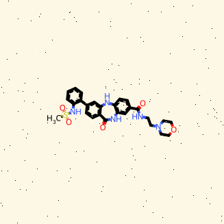 CS(=O)(=O)Nc1ccccc1-c1ccc2c(c1)Nc1ccc(C(=O)NCCN3CCOCC3)cc1NC2=O